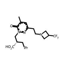 Cc1cc(CCN2CC(C(F)(F)F)C2)nn(C[C@H](CC(C)C)C(=O)O)c1=O